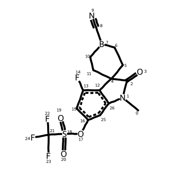 CN1C(=O)C2(CCB(C#N)CC2)c2c(F)cc(OS(=O)(=O)C(F)(F)F)cc21